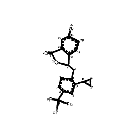 O=C1OC(Cc2ccc(C(F)(F)F)cc2C2CC2)c2ccc(Br)cc21